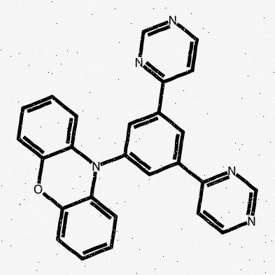 c1ccc2c(c1)Oc1ccccc1N2c1cc(-c2ccncn2)cc(-c2ccncn2)c1